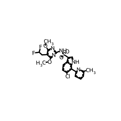 COc1nc(NS(=O)(=O)c2c[nH]c3c(-c4cccc(C)n4)c(Cl)ccc23)nc(OC)c1CC(F)F